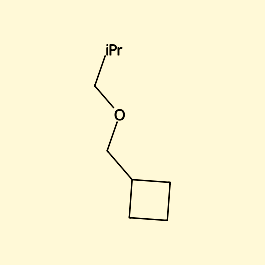 CC(C)COCC1CCC1